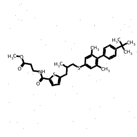 COC(=O)CCNC(=O)c1ccc(CC(C)CSc2cc(C)c(-c3ccc(C(C)(C)C)cc3)c(C)c2)s1